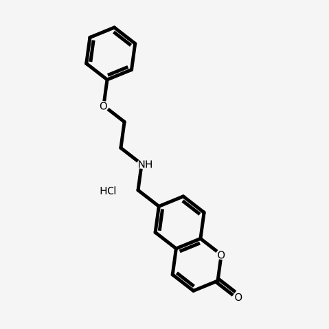 Cl.O=c1ccc2cc(CNCCOc3ccccc3)ccc2o1